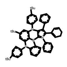 CC(C)(C)c1ccc(N2c3ccccc3B3c4c2cc(C(C)(C)C)cc4N(c2ccc(C(C)(C)C)cc2)c2c(-c4ccccc4)c(C4=CCCC=C4)n(-c4ccccc4)c23)cc1